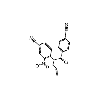 C=CCC(C(=O)c1ccc(C#N)cc1)c1ccc(C#N)cc1[N+](=O)[O-]